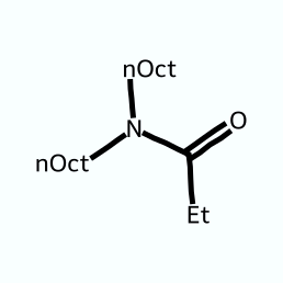 CCCCCCCCN(CCCCCCCC)C(=O)CC